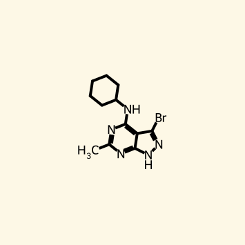 Cc1nc(NC2CCCCC2)c2c(Br)n[nH]c2n1